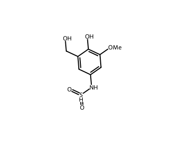 COc1cc(N[SH](=O)=O)cc(CO)c1O